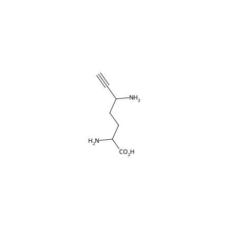 C#CC(N)CCC(N)C(=O)O